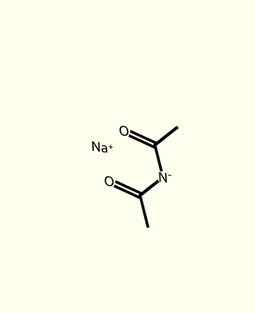 CC(=O)[N-]C(C)=O.[Na+]